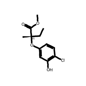 CC[C@](C)(Oc1ccc(Cl)c(O)c1)C(=O)OC